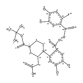 CC(C)(C)OC(=O)N1CCN(c2cc(Cl)c(Cl)cc2[N+](=O)[O-])C(CC(=O)O)C1.O=[N+]([O-])c1cc(Cl)c(Cl)cc1F